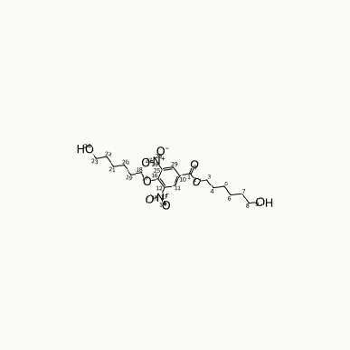 O=C(OCCCCCCO)c1cc([N+](=O)[O-])c(OCCCCCCO)c([N+](=O)[O-])c1